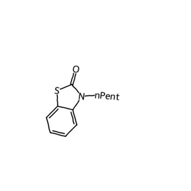 CCCCCn1c(=O)sc2ccccc21